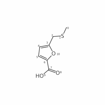 CSCc1ccc(C(=O)O)o1